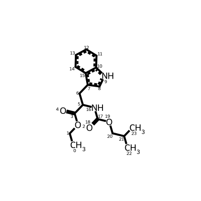 CCOC(=O)C(Cc1c[nH]c2ccccc12)NC(=O)OCC(C)C